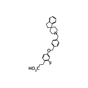 O=C(O)CCc1ccc(OCc2ccc(CN3CCC4(CCc5ccccc54)CC3)cc2)cc1F